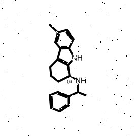 Cc1ccc2[nH]c3c(c2c1)CCC[C@@H]3NC(C)c1ccccc1